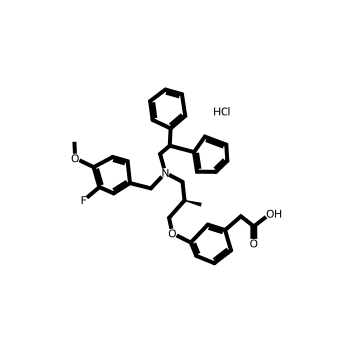 COc1ccc(CN(CC(c2ccccc2)c2ccccc2)C[C@@H](C)COc2cccc(CC(=O)O)c2)cc1F.Cl